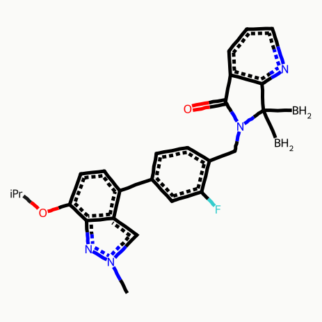 BC1(B)c2ncccc2C(=O)N1Cc1ccc(-c2ccc(OC(C)C)c3nn(C)cc23)cc1F